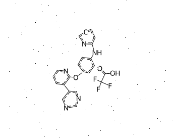 O=C(O)C(F)(F)F.c1ccc(Nc2ccc(Oc3ncccc3-c3cncnc3)cc2)nc1